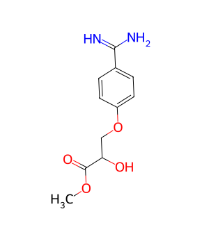 COC(=O)C(O)COc1ccc(C(=N)N)cc1